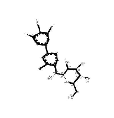 Cc1cc(-c2cc(F)c(F)c(F)c2)ccc1[C@@H](O)[C@H]1OC(CO)[C@@H](O)[C@H](O)C1O